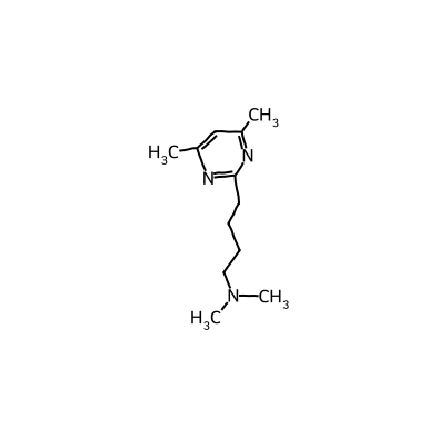 Cc1cc(C)nc(CCCCN(C)C)n1